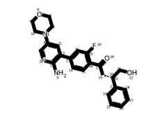 Nc1ncc(N2CCOCC2)cc1-c1ccc(C(=O)C[C@H](CO)c2ccccc2)c(F)c1